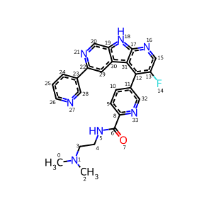 CN(C)CCNC(=O)c1ccc(-c2c(F)cnc3[nH]c4cnc(-c5cccnc5)cc4c23)cn1